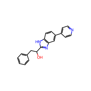 OC(Cc1ccccc1)c1nc2cc(-c3ccncc3)ccc2[nH]1